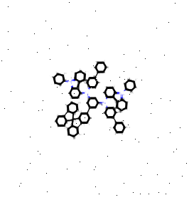 c1ccc(-c2ccc(N(c3cc(-c4ccc5c(c4)C4(c6ccccc6-c6ccccc64)c4ccccc4-5)cc(N(c4ccc(-c5ccccc5)cc4)c4cccc5c4c4ccccc4n5-c4ccccc4)c3)c3cccc4c3c3ccccc3n4-c3ccccc3)cc2)cc1